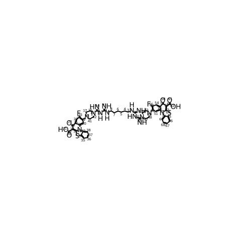 N=C(NCCCCCCNC(=N)NC(=N)N1CCN(c2cc3c(cc2F)c(=O)c(C(=O)O)c2sc4ccccc4n23)CC1)NC(=N)N1CCN(c2cc3c(cc2F)c(=O)c(C(=O)O)c2sc4ccccc4n23)CC1